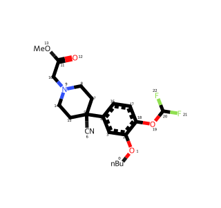 CCCCOc1cc(C2(C#N)CCN(CC(=O)OC)CC2)ccc1OC(F)F